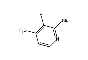 CC(C)(C)c1nccc(C(F)(F)F)c1F